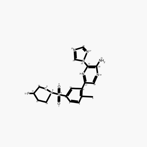 Cc1ccc(S(=O)(=O)N2CCC(F)CC2)cc1-c1cnc(N)c(-n2cncn2)n1